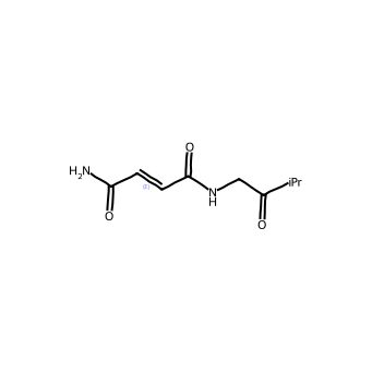 CC(C)C(=O)CNC(=O)/C=C/C(N)=O